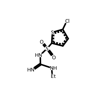 CCNC(=N)NS(=O)(=O)c1ccc(Cl)s1